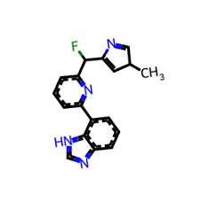 CC1C=NC(C(F)c2cccc(-c3cccc4nc[nH]c34)n2)=C1